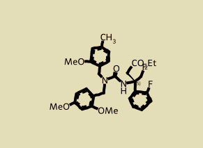 CCOC(=O)C[C@](CF)(NC(=O)N(Cc1ccc(C)cc1OC)Cc1ccc(OC)cc1OC)c1ccccc1F